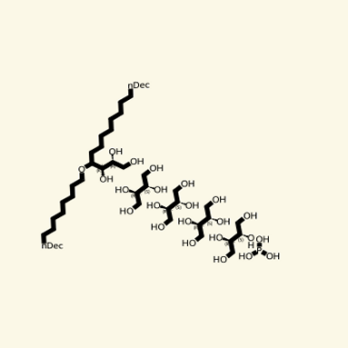 CCCCCCCCCCCCCCCCCCOC(CCCCCCCCCCCCCCCCCC)[C@H](O)[C@H](O)CO.OC[C@@H](O)[C@@H](O)CO.OC[C@@H](O)[C@@H](O)CO.OC[C@@H](O)[C@@H](O)CO.OC[C@@H](O)[C@@H](O)CO.OP(O)O